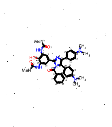 CNC(=O)Nc1cc(-c2nc(-c3ccc(N(C)C)cc3)c(-c3ccc(N(C)C)cc3)n2C(=O)c2ccccc2)cc(NC(=O)NC)c1O